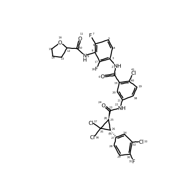 O=C(Nc1ccc(F)c(NC(=O)C2CCCO2)c1F)c1cc(NC(=O)[C@H]2[C@H](c3ccc(F)c(Cl)c3)C2(Cl)Cl)ccc1Cl